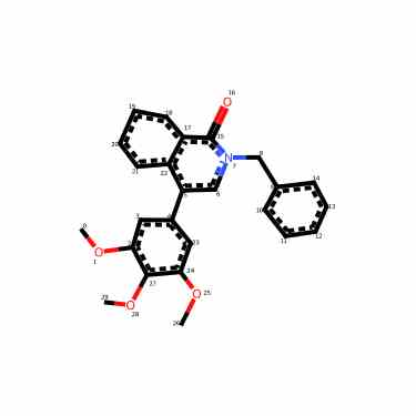 COc1cc(-c2cn(Cc3ccccc3)c(=O)c3ccccc23)cc(OC)c1OC